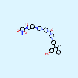 CC/C(=C(/c1ccc(O)cc1)c1ccc(N2CCN(C(=O)N3CCC(N4CCN(c5ccc6c(c5)CN(C5CCC(=O)NC5=O)C6=O)CC4)CC3)CC2)cc1)c1ccccc1